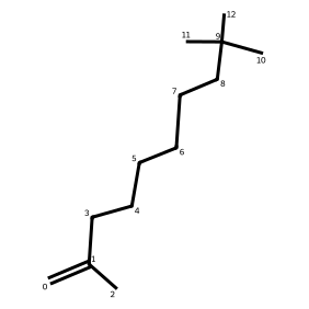 C=C(C)CCCCCCC(C)(C)C